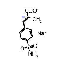 C/C(=C\c1ccc(S(N)(=O)=O)cc1)C(=O)[O-].[Na+]